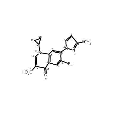 Cc1ccn(-c2cc3c(cc2F)c(=O)c(C(=O)O)cn3C2CC2)n1